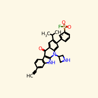 C#Cc1ccc2c(c1)[nH]c1c2c(=O)c2cc(C(C)C)c(-c3cccc(S(=O)(=O)F)c3)cc2n1C1CNC1